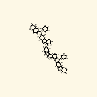 C1=Cc2c(oc3ccc(N(c4ccccc4)c4ccc5c(c4)oc4oc6ccc(-c7cccc8c7sc7ccc(N(c9ccccc9)c9ccc%10ccccc%10c9)cc78)cc6c45)cc23)CC1